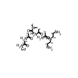 CC(=O)N(C)C.CC(N)=O.CC(N)=O.CC(N)=O.CC(N)=O.NCCNCCN.[Gd]